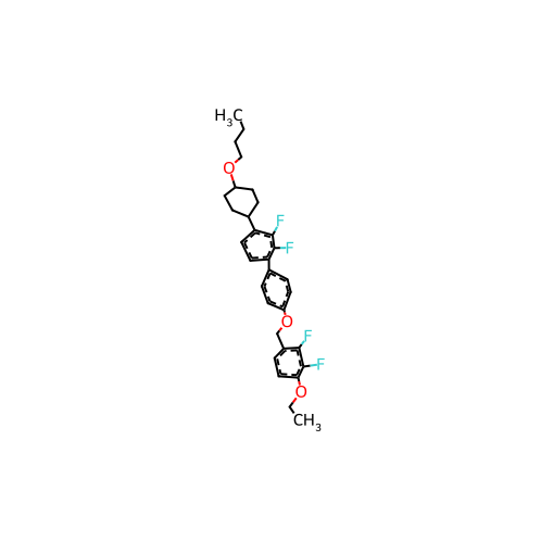 CCCCOC1CCC(c2ccc(-c3ccc(OCc4ccc(OCC)c(F)c4F)cc3)c(F)c2F)CC1